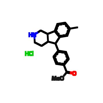 COC(=O)c1ccc(C2c3cc(C)ccc3C3CNCCC32)cc1.Cl